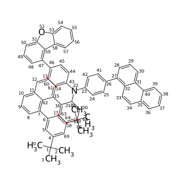 CC(C)(C)c1cc(-c2cccc3cccc(-c4ccccc4N(c4ccc(-c5cccc6c5ccc5ccccc56)cc4)c4ccc(-c5cccc6oc7ccccc7c56)cc4)c23)cc(C(C)(C)C)c1